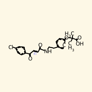 CC(C)(Oc1ccc(CCNC(=O)/C=C/C(=O)c2ccc(Cl)cc2)cc1)C(=O)O